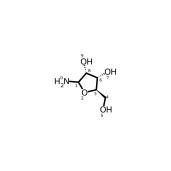 NC1O[C@H](CO)[C@@H](O)[C@H]1O